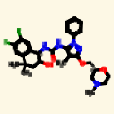 Cc1c(OC[C@H]2CN(C)CCO2)nn(-c2ccccc2)c1NC(=O)N[C@@H]1c2cc(F)c(F)cc2C(C)(C)CC1O